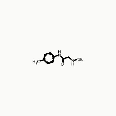 Cc1ccc(NC(=O)CNC(C)(C)C)cc1